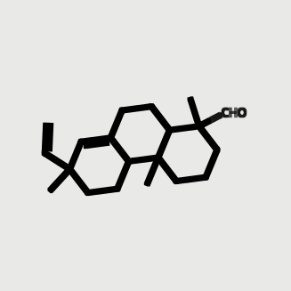 C=CC1(C)C=C2CCC3C(C)(C=O)CCCC3(C)C2CC1